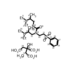 CCN(CC)C(C)CNC(=O)N(CCS(=O)(=O)c1ccccc1)CC(C)N(CC)CC.O.O=C(O)CC(O)(CC(=O)O)C(=O)O